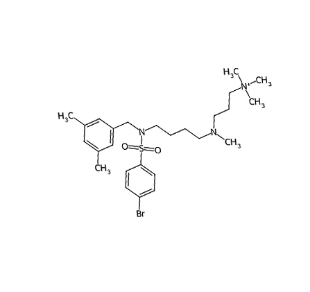 Cc1cc(C)cc(CN(CCCCN(C)CCC[N+](C)(C)C)S(=O)(=O)c2ccc(Br)cc2)c1